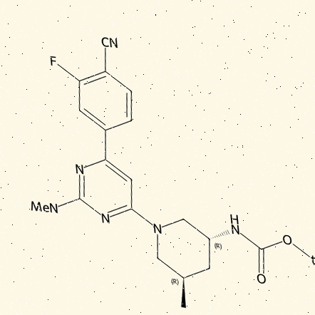 CNc1nc(-c2ccc(C#N)c(F)c2)cc(N2C[C@H](C)C[C@@H](NC(=O)OC(C)(C)C)C2)n1